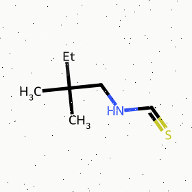 CCC(C)(C)CN[C]=S